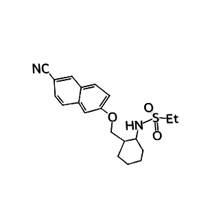 CCS(=O)(=O)NC1CCCCC1COc1ccc2cc(C#N)ccc2c1